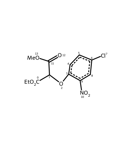 CCOC(=O)C(Oc1ccc(Cl)cc1[N+](=O)[O-])C(=O)OC